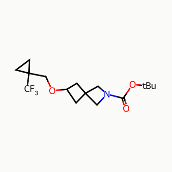 CC(C)(C)OC(=O)N1CC2(CC(OCC3(C(F)(F)F)CC3)C2)C1